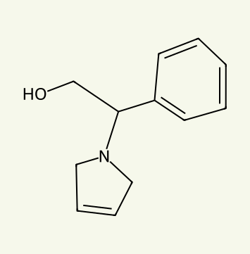 OCC(c1ccccc1)N1CC=CC1